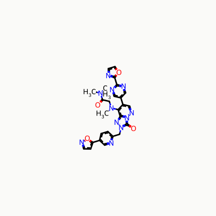 CN(C)C(=O)CN(C)c1c(-c2cnc(-c3ncco3)nc2)cnn2c(=O)n(Cc3ccc(-c4ccno4)cn3)nc12